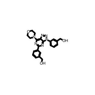 OCc1cccc(-c2nc(N3CCOCC3)c3nnn(-c4cccc(CO)c4)c3n2)c1